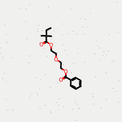 CCC(C)(C)C(=O)OCCOCCOC(=O)c1ccccc1